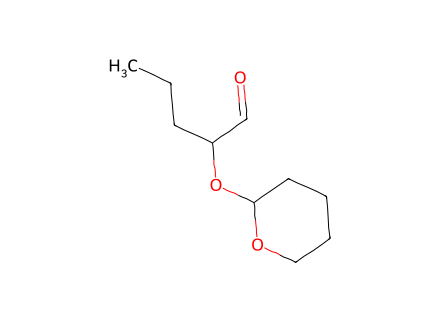 CCCC(C=O)OC1CCCCO1